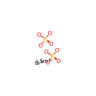 O=P([O-])([O-])[O-].O=P([O-])([O-])[O-].[Bi+3].[Sm+3]